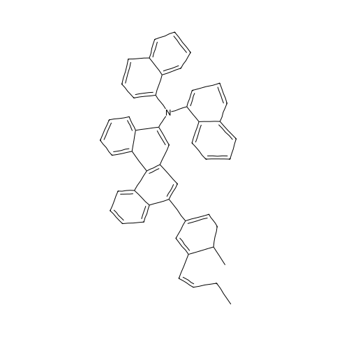 CC/C=C\C1=CC(c2cc3cc(N(c4cccc5ccccc45)c4cccc5ccccc45)c4ccccc4c3c3ccccc23)=CCC1C